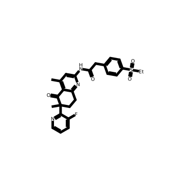 CCS(=O)(=O)c1ccc(CC(=O)Nc2cc(C)c3c(n2)CCC(C)(c2ncccc2F)C3=O)cc1